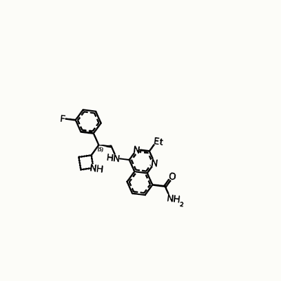 CCc1nc(NC[C@H](c2cccc(F)c2)C2CCN2)c2cccc(C(N)=O)c2n1